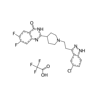 O=C(O)C(F)(F)F.O=c1[nH]c(C2CCN(CCc3n[nH]c4ccc(Cl)cc34)CC2)nc2cc(F)c(F)cc12